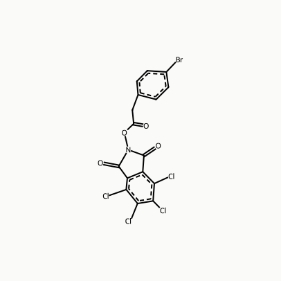 O=C(Cc1ccc(Br)cc1)ON1C(=O)c2c(Cl)c(Cl)c(Cl)c(Cl)c2C1=O